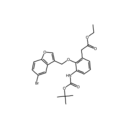 CCOC(=O)Cc1cccc(NC(=O)OC(C)(C)C)c1OCc1coc2ccc(Br)cc12